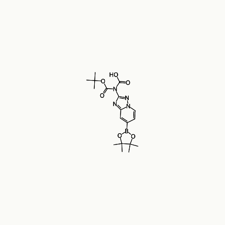 CC(C)(C)OC(=O)N(C(=O)O)c1nc2cc(B3OC(C)(C)C(C)(C)O3)ccn2n1